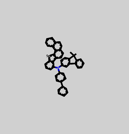 CC1(C)c2ccccc2-c2cc(N(c3ccc(-c4ccccc4)cc3)c3cccc4[se]c5c(ccc6ccc7ccccc7c65)c34)ccc21